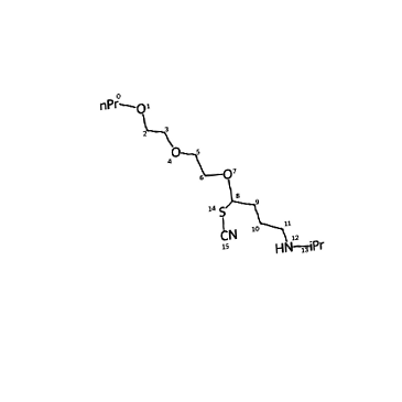 CCCOCCOCCOC(CCCNC(C)C)SC#N